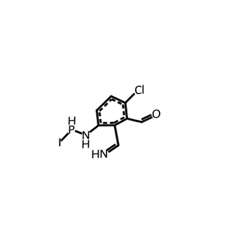 N=Cc1c(NPI)ccc(Cl)c1C=O